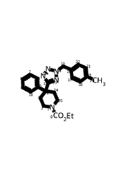 CCOC(=O)N1CCC(c2ccccc2)(c2nnn(Cc3ccc(C)cc3)n2)CC1